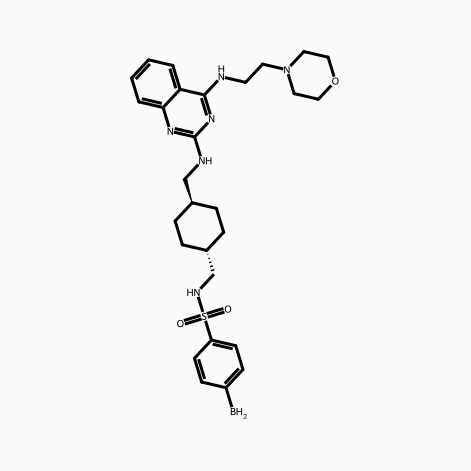 Bc1ccc(S(=O)(=O)NC[C@H]2CC[C@H](CNc3nc(NCCN4CCOCC4)c4ccccc4n3)CC2)cc1